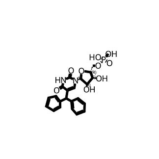 O=c1[nH]c(=O)n([C@@H]2O[C@H](COP(=O)(O)O)[C@@H](O)[C@H]2O)cc1C(c1ccccc1)c1ccccc1